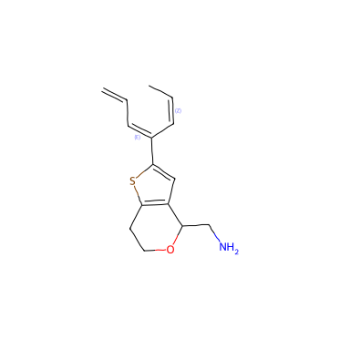 C=C/C=C(\C=C/C)c1cc2c(s1)CCOC2CN